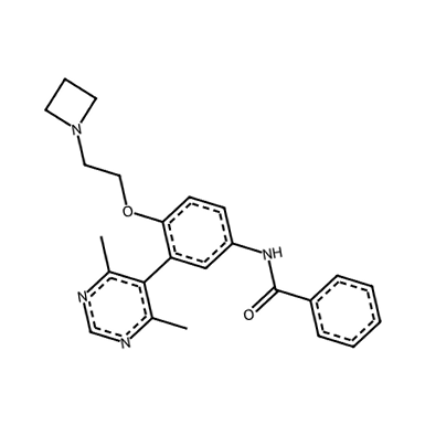 Cc1ncnc(C)c1-c1cc(NC(=O)c2ccccc2)ccc1OCCN1CCC1